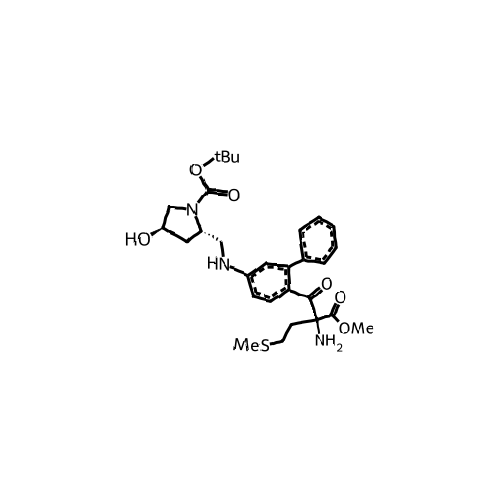 COC(=O)C(N)(CCSC)C(=O)c1ccc(NC[C@@H]2C[C@@H](O)CN2C(=O)OC(C)(C)C)cc1-c1ccccc1